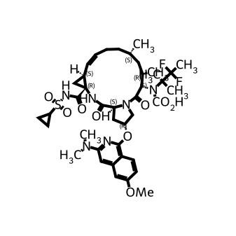 COc1ccc2c(O[C@@H]3C[C@H]4C(=O)N[C@]5(C(=O)NS(=O)(=O)C6CC6)C[C@H]5C=CCC[C@H](C)C[C@@H](C)[C@H](N(C(=O)O)C(C)(C)C(C)(F)F)C(=O)N4C3)nc(N(C)C)cc2c1